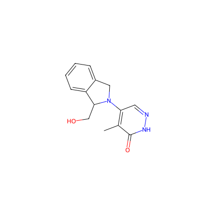 Cc1c(N2Cc3ccccc3C2CO)cn[nH]c1=O